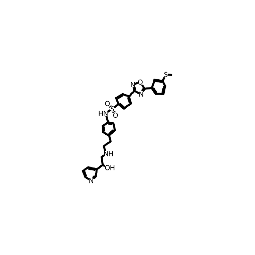 CSc1cccc(-c2nc(-c3ccc(S(=O)(=O)Nc4ccc(CCNCC(O)c5cccnc5)cc4)cc3)no2)c1